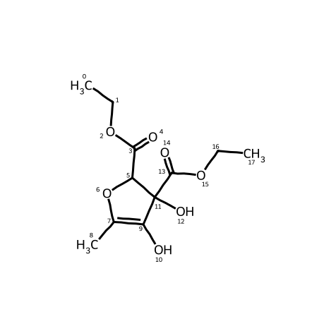 CCOC(=O)C1OC(C)=C(O)C1(O)C(=O)OCC